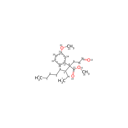 CCCCCC(CC)C(CCC=O)(C(=O)OC)c1cccc(OC)c1